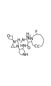 NC(N)C(C(=O)NC1CNCCC1N1CCN(C2COC2)C2CC21)C1CCCCCCCCC(F)CN1